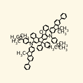 CC1c2cc(-c3ccccc3)ccc2-c2ccc(N(c3ccc([Si](C)(C)C)cc3)c3cc4c(c5ccccc35)-c3c(cc(N(c5ccc([Si](C)(C)C)cc5)c5ccc6c(c5)C(C)(C)c5cc(-c7ccccc7)ccc5-6)c5c3oc3ccccc35)C4(c3ccccc3)c3ccccc3)cc21